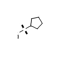 O=CNS(=O)(=O)C1CCCC1